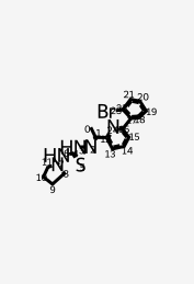 CC(=NNC(=S)NN1CCCC1)c1cccc(-c2ccccc2Br)n1